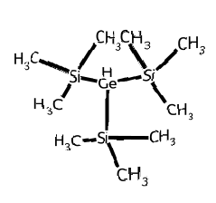 C[Si](C)(C)[GeH]([Si](C)(C)C)[Si](C)(C)C